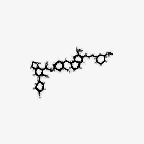 COc1cc2c(Oc3ccc(NC(=O)c4c5c(cn(-c6ccc(F)cc6)c4=O)CCO5)cc3F)ccnc2cc1OCCN1CCCC(OC)C1